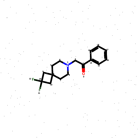 O=C(CN1CCC2(CC1)CC(F)(F)C2)c1ccccc1